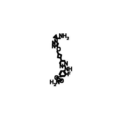 NCC1(n2cc(OCC3CC(c4cnc(Nc5ccc(S(N)(=O)=O)cc5F)nc4)C3)nn2)CC1